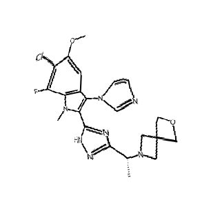 COc1cc2c(-n3ccnc3)c(-c3nc([C@@H](C)N4CC5(COC5)C4)n[nH]3)n(C)c2c(F)c1Cl